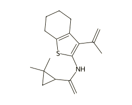 C=C(C)c1c(NC(=C)C2CC2(C)C)sc2c1CCCC2